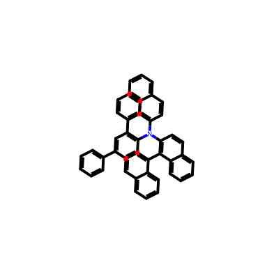 c1ccc(-c2ccc(N(c3ccc4ccccc4c3)c3ccc4ccccc4c3-c3cccc4ccccc34)c(-c3ccccc3)c2)cc1